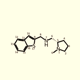 CN1CCC[C@H]1CNCc1cc2ccccc2s1